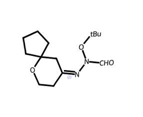 CC(C)(C)ON(C=O)/N=C1/CCOC2(CCCC2)C1